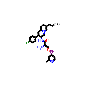 Cc1cc(PO/C=C(\N)C(=O)NC2=CN3C=C(CCC(C)(C)C)CC=C3C=C2c2ccc(F)cc2)ccn1